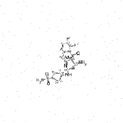 COc1ccc(F)c(F)c1C(=O)c1cnc(Nc2ccc(S(N)(=O)=O)cc2)nc1N